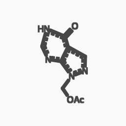 CC(=O)OCn1ncc2c(=O)[nH]cnc21